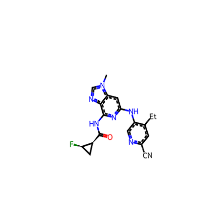 CCc1cc(C#N)ncc1Nc1cc2c(ncn2C)c(NC(=O)[C@H]2C[C@H]2F)n1